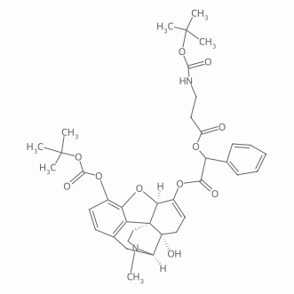 CN1CC[C@]23c4c5ccc(OC(=O)OC(C)(C)C)c4O[C@H]2C(OC(=O)C(OC(=O)CCNC(=O)OC(C)(C)C)c2ccccc2)=CC[C@@]3(O)[C@H]1C5